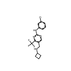 FC(F)(F)c1nc(Nc2cccc(Cl)c2)ncc1CNC1CCC1